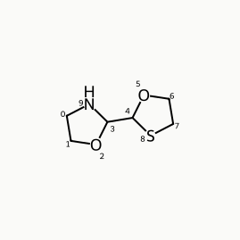 C1COC(C2OCCS2)N1